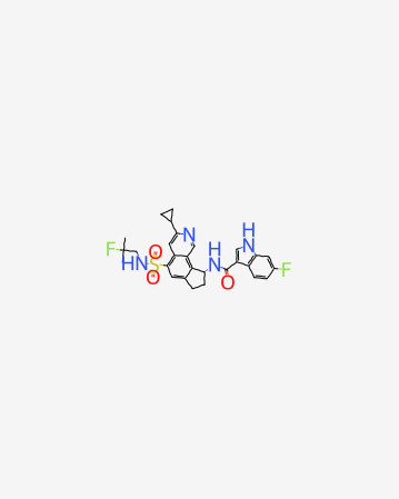 CC(C)(F)CNS(=O)(=O)c1cc2c(c3cnc(C4CC4)cc13)[C@H](NC(=O)c1c[nH]c3cc(F)ccc13)CC2